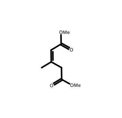 COC(=O)C=C(C)CC(=O)OC